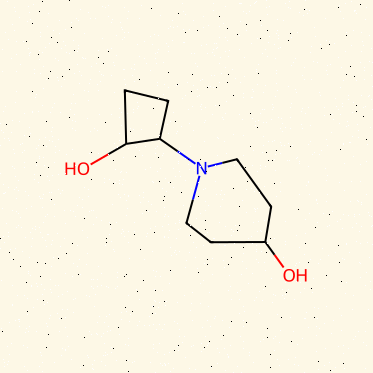 OC1CCN(C2CCC2O)CC1